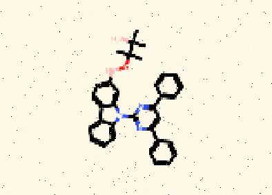 BC(C)(C)C(C)(C)OBc1ccc2c3ccccc3n(-c3nc(-c4ccccc4)cc(-c4ccccc4)n3)c2c1